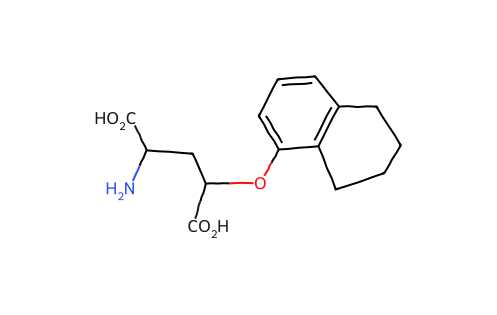 NC(CC(Oc1cccc2c1CCCC2)C(=O)O)C(=O)O